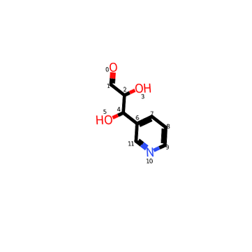 O=CC(O)C(O)c1cccnc1